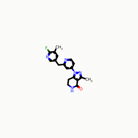 Cc1cc(Cc2cc(-n3nc(C)c4c3CCNC4=O)ccn2)cnc1F